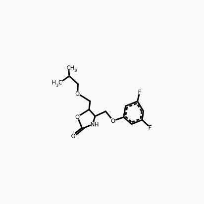 CC(C)COCC1OC(=O)NC1COc1cc(F)cc(F)c1